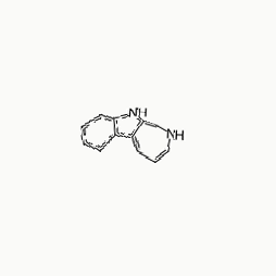 C1=CNC=c2[nH]c3ccccc3c2=C1